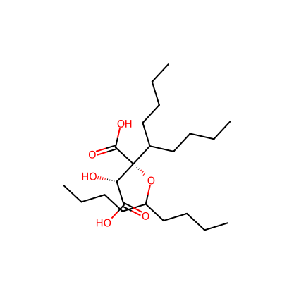 CCCCC(CCCC)O[C@](C(=O)O)(C(CCCC)CCCC)[C@@H](O)C(=O)O